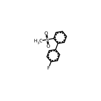 CS(=O)(=O)c1ccccc1-c1ccc(F)cc1